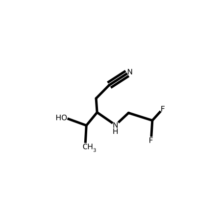 CC(O)C(CC#N)NCC(F)F